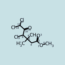 COC(=O)CC(C)(C)C(Cl)C(=O)C(Cl)Cl